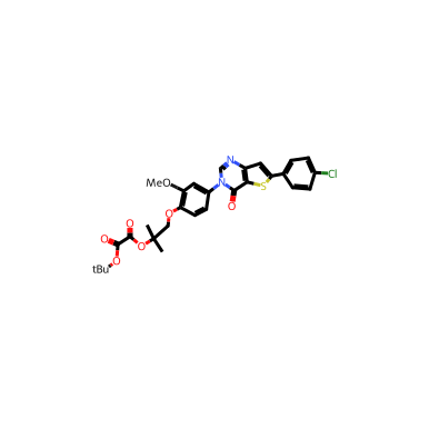 COc1cc(-n2cnc3cc(-c4ccc(Cl)cc4)sc3c2=O)ccc1OCC(C)(C)OC(=O)C(=O)OC(C)(C)C